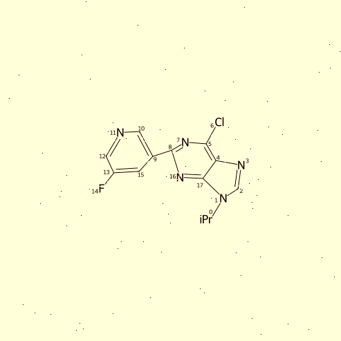 CC(C)n1cnc2c(Cl)nc(-c3cncc(F)c3)nc21